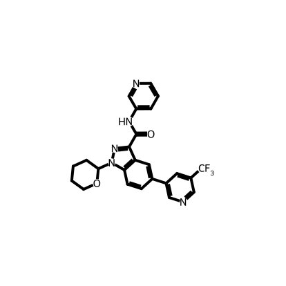 O=C(Nc1cccnc1)c1nn(C2CCCCO2)c2ccc(-c3cncc(C(F)(F)F)c3)cc12